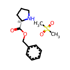 CS(C)(=O)=O.O=C(OCc1ccccc1)[C@@H]1CCCN1